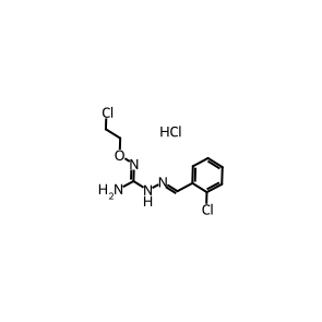 Cl.NC(=NOCCCl)NN=Cc1ccccc1Cl